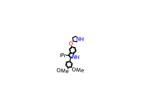 COc1ccc(-c2[nH]c3ccc(OC4CCNC4)cc3c2C(C)C)cc1OC